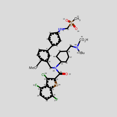 COc1ccc(-c2ccc(NCS(C)(=O)=O)cc2)cc1CN(C(=O)c1sc2c(F)ccc(F)c2c1Cl)C1CCC(CN(C(=O)O)C(C)(C)C)CC1